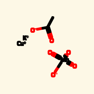 CC(=O)[O-].[Cu+].[K+].[O]=[Mn](=[O])(=[O])[O-]